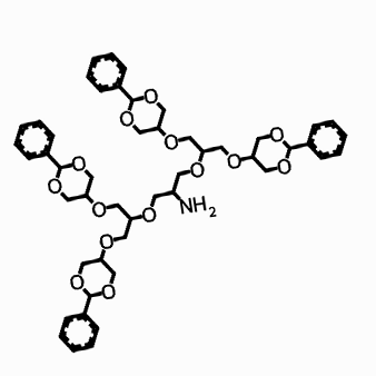 NC(COC(COC1COC(c2ccccc2)OC1)COC1COC(c2ccccc2)OC1)COC(COC1COC(c2ccccc2)OC1)COC1COC(c2ccccc2)OC1